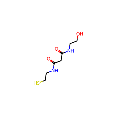 O=C(CC(=O)NCCS)NCCO